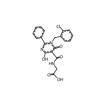 O=C(O)CNC(=O)c1c(O)nc(-c2ccccc2)n(Cc2ccccc2Cl)c1=O